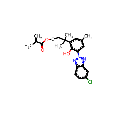 C=C(C)C(=O)OCCC(C)(C)c1cc(C)cc(-n2nc3ccc(Cl)cc3n2)c1O